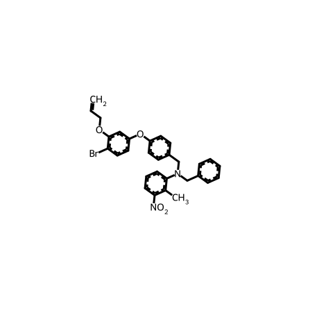 C=CCOc1cc(Oc2ccc(CN(Cc3ccccc3)c3cccc([N+](=O)[O-])c3C)cc2)ccc1Br